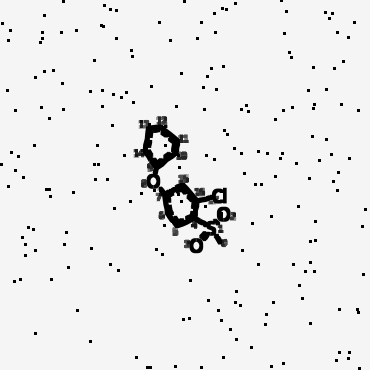 CS(=O)(=O)c1ccc(Oc2cc[c]cc2)cc1Cl